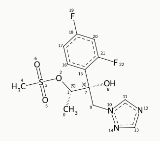 C[C@H](OS(C)(=O)=O)[C@](O)(Cn1cncn1)c1ccc(F)cc1F